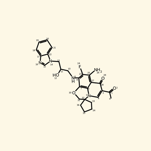 CC(=O)c1cn2c3c(c(NCC(O)Cn4cnc5ccccc54)c(F)c(N)c3c1=O)OCC21CCCC1